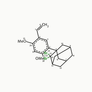 C=Cc1cc(C23CC4CC(CC(C4)C2(Br)Br)C3)c(OC)cc1OC